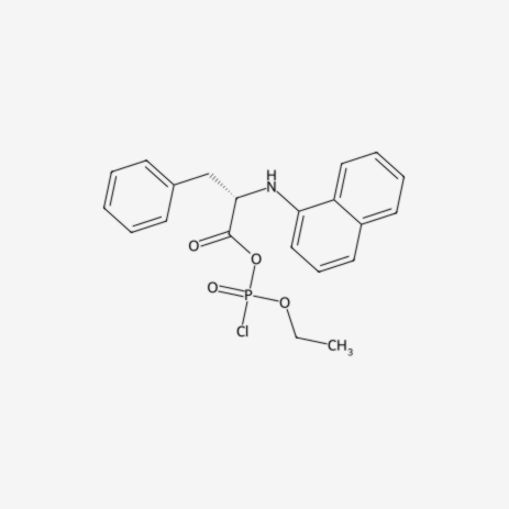 CCOP(=O)(Cl)OC(=O)[C@H](Cc1ccccc1)Nc1cccc2ccccc12